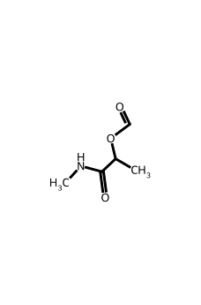 CNC(=O)C(C)OC=O